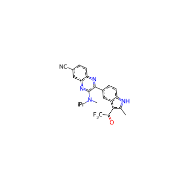 Cc1[nH]c2ccc(-c3nc4ccc(C#N)cc4nc3N(C)C(C)C)cc2c1C(=O)C(F)(F)F